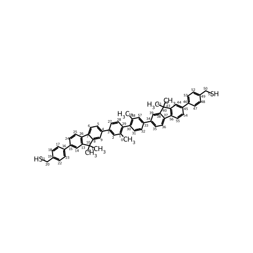 Cc1cc(-c2ccc3c(c2)C(C)(C)c2cc(-c4ccc(CS)cc4)ccc2-3)ccc1-c1ccc(-c2ccc3c(c2)C(C)(C)c2cc(-c4ccc(CS)cc4)ccc2-3)cc1C